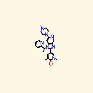 Cc1cc(-c2nc3cnc(N4CCN(C)CC4)cc3n2C(C)c2ccccn2)cn(C)c1=O